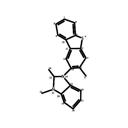 Cc1cc2sc3ccccc3c2cc1N1c2ccccc2N(C)C1C